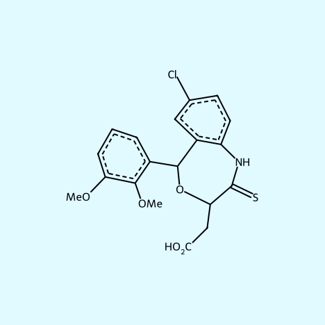 COc1cccc(C2OC(CC(=O)O)C(=S)Nc3ccc(Cl)cc32)c1OC